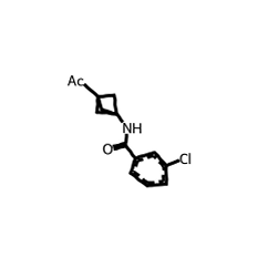 CC(=O)C12CC(NC(=O)c3cccc(Cl)c3)(C1)C2